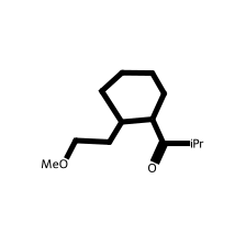 COCCC1CCCCC1C(=O)C(C)C